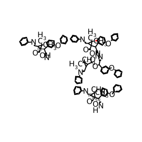 CC1(C)C(C=Nc2ccccc2)C1(C(=O)O)C(C#N)c1cccc(Oc2ccccc2)c1.CC1(C)C(C=Nc2ccccc2)C1C(=O)OC(C#N)c1cccc(Oc2ccccc2)c1.CC1(C)C(C=Nc2ccccc2)[C@]1(C(=O)O)C(C#N)c1cccc(Oc2ccccc2)c1.CC1(C)[C@H](C=Nc2ccccc2)[C@@]1(C(=O)O)[C@@H](C#N)c1cccc(Oc2ccccc2)c1